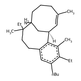 CCCCc1cc2c(c(C)c1CC)[C@@H]1/C=C(/C)CCCC(N)(C1)C(C)(CC)CC2